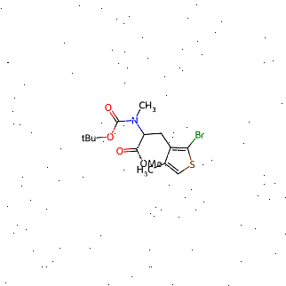 COC(=O)C(Cc1c(C)csc1Br)N(C)C(=O)OC(C)(C)C